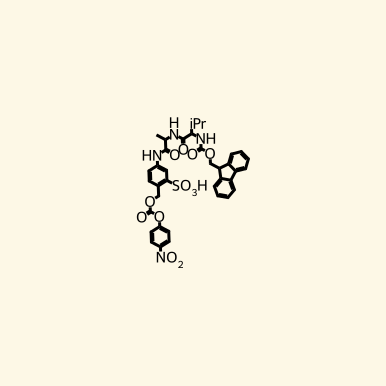 CC(NC(=O)C(NC(=O)OCC1c2ccccc2-c2ccccc21)C(C)C)C(=O)Nc1ccc(COC(=O)Oc2ccc([N+](=O)[O-])cc2)c(S(=O)(=O)O)c1